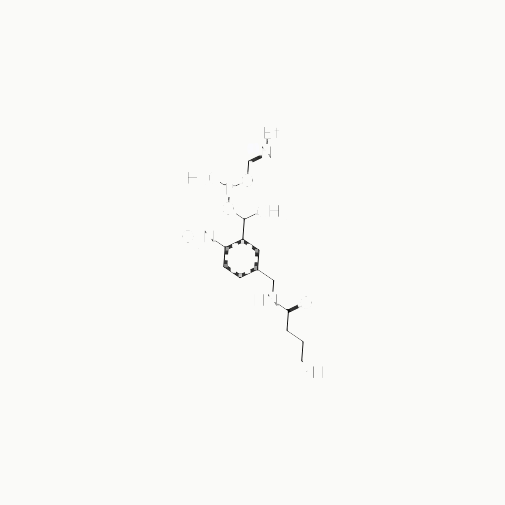 [2H]CCCC(=O)NCc1ccc([N+](=O)[O-])c(C(C)OP(C)O/C=N/CC)c1